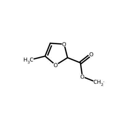 [CH2]OC(=O)C1OC=C(C)O1